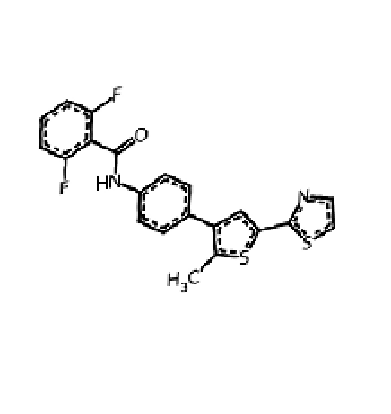 Cc1sc(-c2nccs2)cc1-c1ccc(NC(=O)c2c(F)cccc2F)cc1